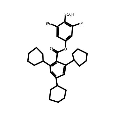 CC(C)c1cc(OC(=O)c2c(C3CCCCC3)cc(C3CCCCC3)cc2C2CCCCC2)cc(C(C)C)c1S(=O)(=O)O